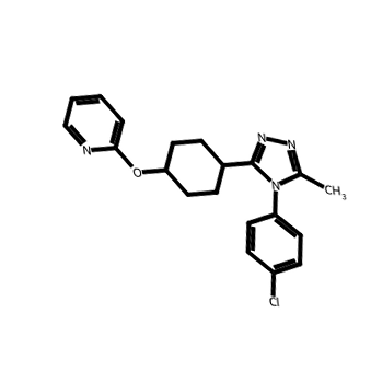 Cc1nnc(C2CCC(Oc3ccccn3)CC2)n1-c1ccc(Cl)cc1